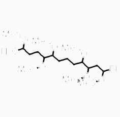 CCC(CC(OSC)C(CCCC(OSC)C(CCC(C)OSC)OSC)OSC)OSC